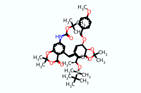 COc1ccc(CO[C@H](/C=C\[C@@H](C)[C@H](C)O[Si](C)(C)C(C)(C)C)[C@H]2OC(C)(C)O[C@H]2C/C=C/c2cc(NC(=O)OC(C)(C)C)cc3c2C(=O)OC(C)(C)O3)cc1